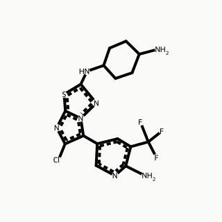 Nc1ncc(-c2c(Cl)nc3sc(NC4CCC(N)CC4)nn23)cc1C(F)(F)F